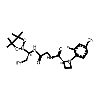 CC(C)C[C@H](NC(=O)CNC(=O)[C@@H]1CCN1c1ccc(C#N)cc1F)B1OC(C)(C)C(C)(C)O1